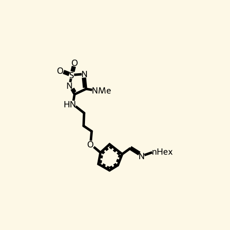 CCCCCCN=Cc1cccc(OCCCNC2=NS(=O)(=O)N=C2NC)c1